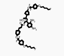 Nc1ccc(C(COC(=O)/C=C/c2ccc(OC(F)(F)c3ccc(OCCCCCF)cc3)cc2)C/C(=C\C(=O)O)c2ccc(OC(F)(F)c3ccc(OCCCCCF)cc3)cc2)c(N)c1